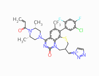 C=CC(=O)N1[C@H](C)CN(c2nc(=O)n3c4c(c(-c5cc(Cl)c(F)cc5F)c(C(F)(F)F)cc24)SCC(/C=[N+]2\C=CN=N2)C3)C[C@@H]1C